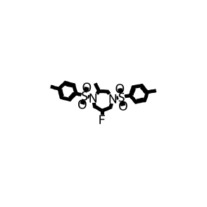 Cc1ccc(S(=O)(=O)N2CC(F)CN(S(=O)(=O)c3ccc(C)cc3)C(C)C2)cc1